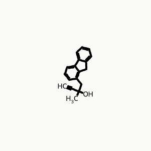 C#CC(C)(O)Cc1cccc2c1Cc1ccccc1-2